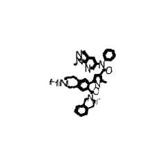 Cc1c(C(=O)N(c2ccccc2)c2cnc3c(cnn3C)c2)cc(-c2cc3c(cc2C(=O)N2Cc4ccccc4C[C@H]2C)CNCC3)n1C